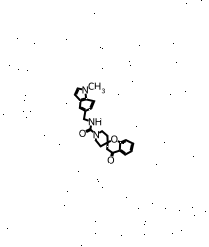 Cn1ccc2cc(CNC(=O)N3CCC4(CC3)CC(=O)c3ccccc3O4)ccc21